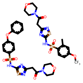 Cc1cc(OC(F)(F)F)ccc1S(=O)(=O)Nc1nc(CC(=O)N2CCOCC2)ns1.O=C(Cc1nsc(NS(=O)(=O)c2ccc(Oc3ccccc3)cc2)n1)N1CCOCC1